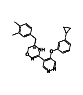 Cc1ccc(C[C@@H]2CON=C(c3cnncc3Oc3cccc(C4CC4)c3)N2)cc1C